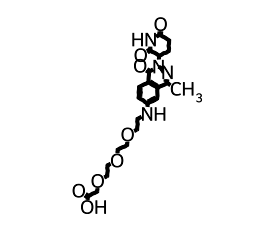 Cc1nn(C2CCC(=O)NC2=O)c(=O)c2ccc(NCCOCCOCCOCC(=O)O)cc12